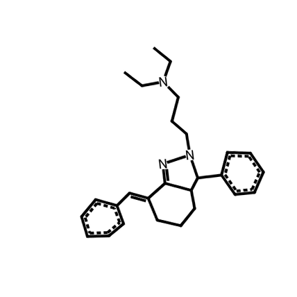 CCN(CC)CCCN1N=C2C(=Cc3ccccc3)CCCC2C1c1ccccc1